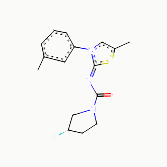 Cc1cccc(-n2cc(C)s/c2=N\C(=O)N2CC[C@@H](F)C2)c1